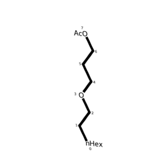 CCCCCCCCOCCCOC(C)=O